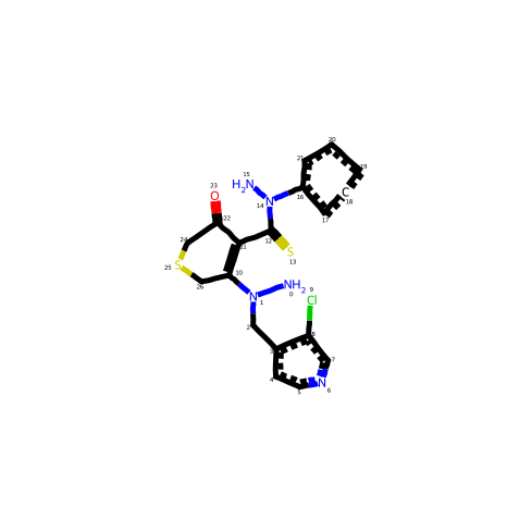 NN(Cc1ccncc1Cl)C1=C(C(=S)N(N)c2ccccc2)C(=O)CSC1